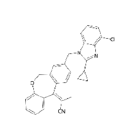 CC(C#N)=C1c2ccc(Cn3c(C4CC4)nc4c(Cl)cccc43)cc2COc2ccccc21